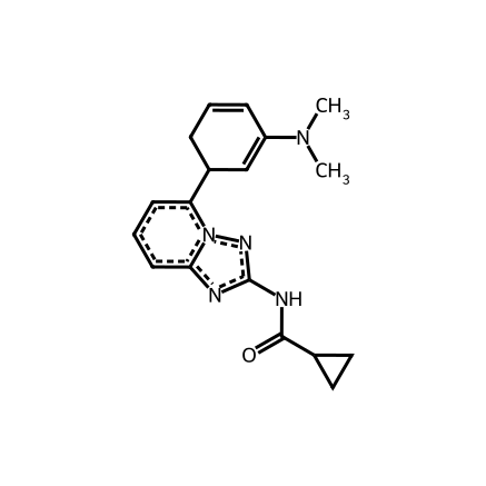 CN(C)C1=CC(c2cccc3nc(NC(=O)C4CC4)nn23)CC=C1